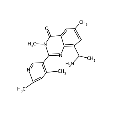 Cc1cc(C(C)N)c2nc(-c3cnc(C)cc3C)n(C)c(=O)c2c1